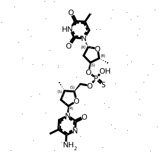 Cc1cn([C@H]2C[C@H](C)[C@@H](COP(O)(=S)O[C@H]3C[C@H](n4cc(C)c(=O)[nH]c4=O)O[C@@H]3C)O2)c(=O)nc1N